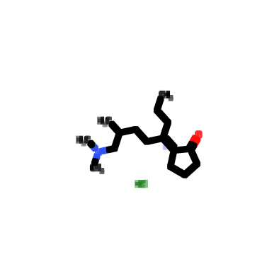 CCC/C(CCC(C)CN(C)C)=C1/CCCC1=O.Cl